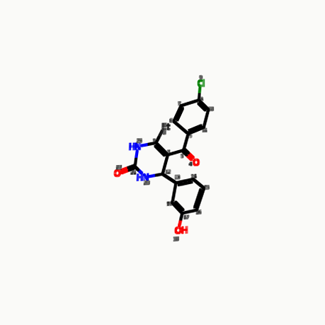 CCC1=C(C(=O)c2ccc(Cl)cc2)C(c2cccc(O)c2)NC(=O)N1